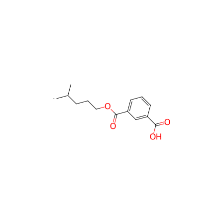 [CH2]C(C)CCCOC(=O)c1cccc(C(=O)O)c1